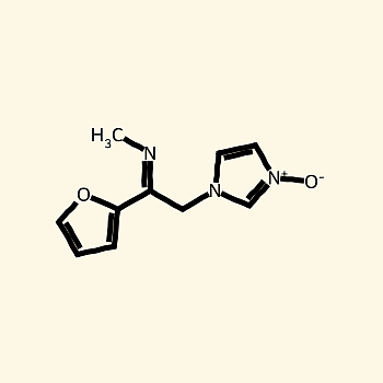 CN=C(Cn1cc[n+]([O-])c1)c1ccco1